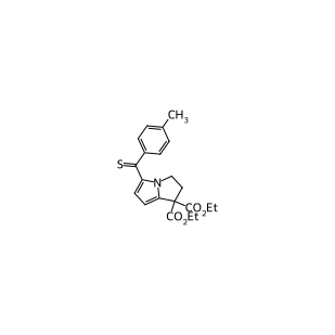 CCOC(=O)C1(C(=O)OCC)CCn2c(C(=S)c3ccc(C)cc3)ccc21